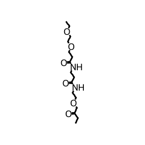 CCOCCOCCC(=O)NCCC(=O)NCCOCC(=O)CC